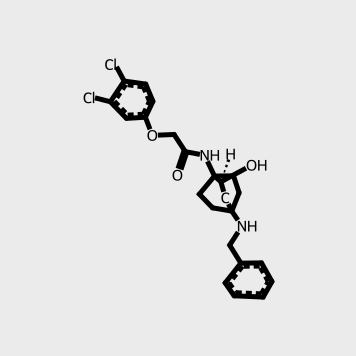 O=C(COc1ccc(Cl)c(Cl)c1)NC12CCC(NCc3ccccc3)(CC1)C[C@@H]2O